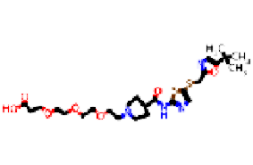 CC(C)(C)c1cnc(CSc2cnc(NC(=O)C3CCN(CCOCCOCCOCCC(=O)O)CC3)s2)o1